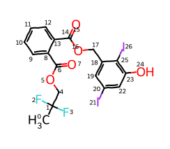 CC(F)(F)COC(=O)c1ccccc1C(=O)OCc1cc(I)cc(O)c1I